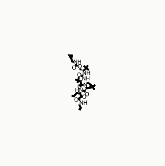 C=CCNC(=O)C(=O)C(CCC)NC(=O)[C@@H]1C2C(CN1C(=O)[C@@H](NC(=O)N[C@@H](COC(=O)NCC1CC1)C(C)(C)C)C(C)(C)C)C2(C)C